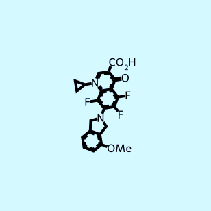 COc1cccc2c1CN(c1c(F)c(F)c3c(=O)c(C(=O)O)cn(C4CC4)c3c1F)C2